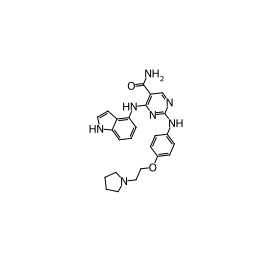 NC(=O)c1cnc(Nc2ccc(OCCN3CCCC3)cc2)nc1Nc1cccc2[nH]ccc12